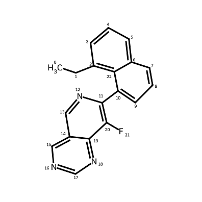 CCc1cccc2cccc(-c3ncc4cncnc4c3F)c12